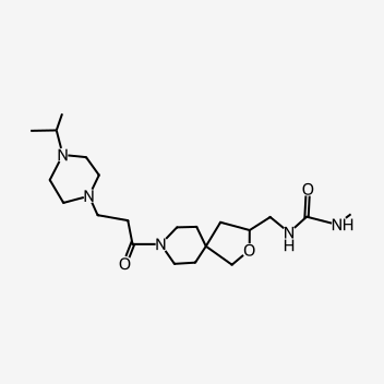 CNC(=O)NCC1CC2(CCN(C(=O)CCN3CCN(C(C)C)CC3)CC2)CO1